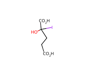 O=C(O)CCC(O)(I)C(=O)O